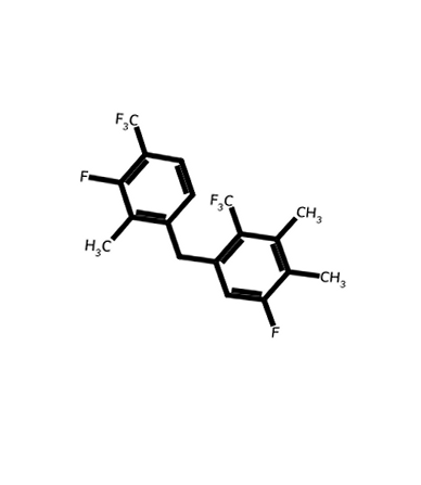 Cc1c(F)cc(Cc2ccc(C(F)(F)F)c(F)c2C)c(C(F)(F)F)c1C